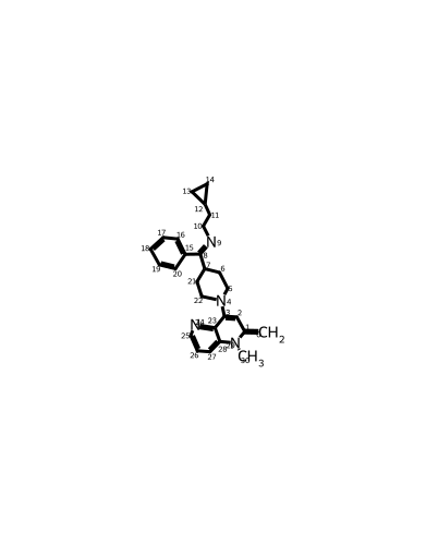 C=C1C=C(N2CCC(/C(=N/CCC3CC3)c3ccccc3)CC2)c2ncccc2N1C